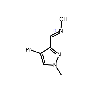 CC(C)c1cn(C)nc1/C=N/O